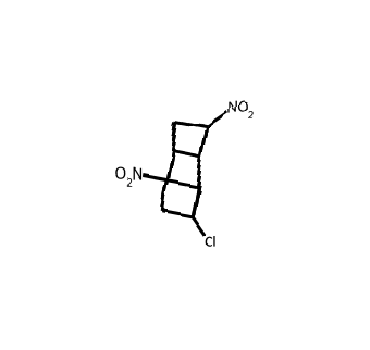 O=[N+]([O-])C12C3C4C1C1(Cl)C2C3C41[N+](=O)[O-]